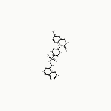 O=C1OCc2cc(Cl)ccc2N1C1CCN(S(=O)(=O)CCc2cccc3ccccc23)CC1